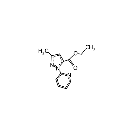 CCOC(=O)c1cc(C)nn1-c1ccccn1